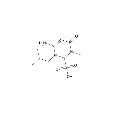 CC(C)CN1C(N)=CC(=O)N(C)C1S(=O)(=O)O